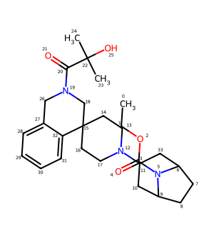 CCOC(=O)N1C2CCC1CC(N1CCC3(CC1)CN(C(=O)C(C)(C)O)Cc1ccccc13)C2